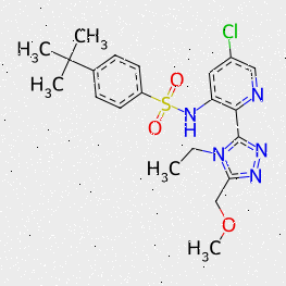 CCn1c(COC)nnc1-c1ncc(Cl)cc1NS(=O)(=O)c1ccc(C(C)(C)C)cc1